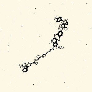 COc1cc2c(Oc3ccc(NC(=O)C4(C(=O)Nc5ccc(F)cc5)CC4)cc3F)ccnc2cc1OCCCCCNC(=O)CSC(=O)[C@H](N)Cc1cn(C)c2ccccc12